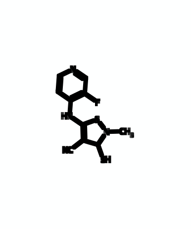 CN1SC(Nc2ccncc2F)=C(C#N)C1S